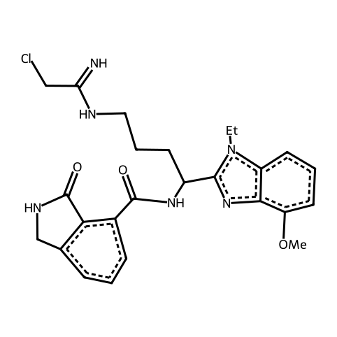 CCn1c(C(CCCNC(=N)CCl)NC(=O)c2cccc3c2C(=O)NC3)nc2c(OC)cccc21